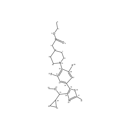 CCOC(=O)CC1CCN(c2c(F)cc(-c3sc(C)nc3C(OC)C3CC3)cc2F)CC1